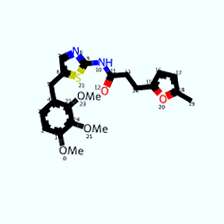 COc1ccc(Cc2cnc(NC(=O)CCc3ccc(C)o3)s2)c(OC)c1OC